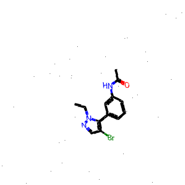 CCn1ncc(Br)c1-c1cccc(NC(C)=O)c1